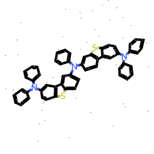 c1ccc(N(c2ccccc2)c2ccc3sc4cc(N(c5ccccc5)c5ccc6sc7ccc(N(c8ccccc8)c8ccccc8)cc7c6c5)ccc4c3c2)cc1